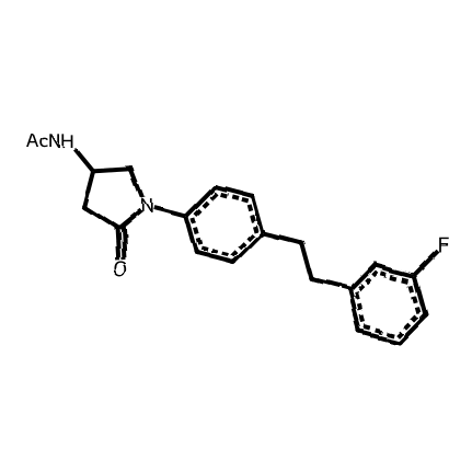 CC(=O)NC1CC(=O)N(c2ccc(CCc3cccc(F)c3)cc2)C1